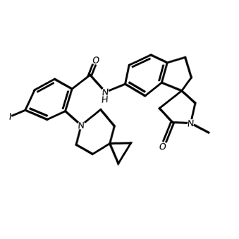 CN1CC2(CCc3ccc(NC(=O)c4ccc(I)cc4N4CCC5(CC4)CC5)cc32)CC1=O